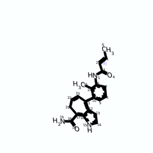 C/C=C/C(=O)Nc1cccc(C2=c3cc[nH]c3=C(C(N)=O)CC=C2)c1C